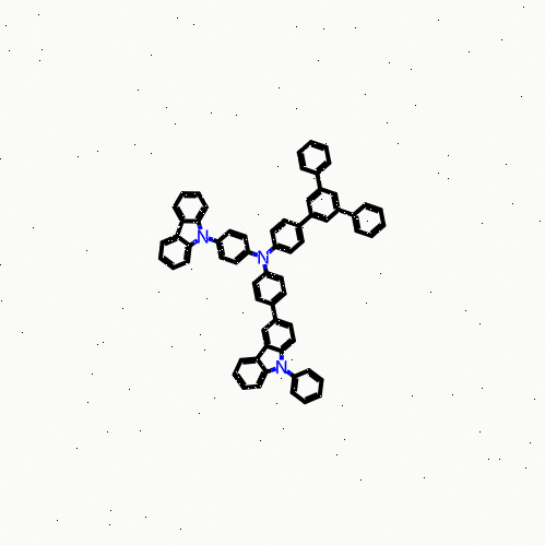 c1ccc(-c2cc(-c3ccccc3)cc(-c3ccc(N(c4ccc(-c5ccc6c(c5)c5ccccc5n6-c5ccccc5)cc4)c4ccc(-n5c6ccccc6c6ccccc65)cc4)cc3)c2)cc1